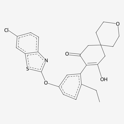 CCc1ccc(Oc2nc3ccc(Cl)cc3s2)cc1C1=C(O)CC2(CCOCC2)CC1=O